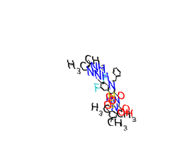 Cc1cc(C)c(N(C(CNC(=O)c2cn(CCc3ccccc3)c3c(F)c(CNc4nc(C)c(C)[nH]4)c(F)cc3c2=O)C(=O)O)[SH](=O)=O)c(C)c1